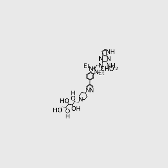 CCn1c(CN(C=O)c2nc3cc[nH]c3nc2N)[n+](CC)c2ccc(-c3cnn(C4CCN(C[C@H](O)[C@@H](O)[C@H](O)[C@H](O)CO)CC4)c3)cc21